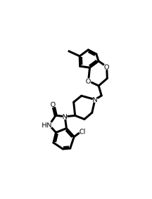 Cc1ccc2c(c1)OC(CN1CCC(n3c(=O)[nH]c4cccc(Cl)c43)CC1)CO2